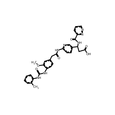 COc1cc(CC(=O)Nc2ccc(C(CC(=O)O)NC(=O)c3cccnn3)cn2)ccc1NC(=O)Nc1ccccc1C